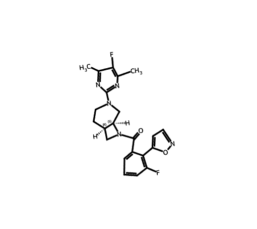 Cc1nc(N2CC[C@@H]3CN(C(=O)c4cccc(F)c4-c4ccno4)[C@@H]3C2)nc(C)c1F